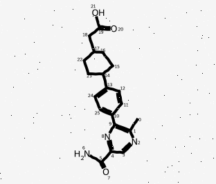 Cc1ncc(C(N)=O)nc1-c1ccc(C2CCC(CC(=O)O)CC2)cc1